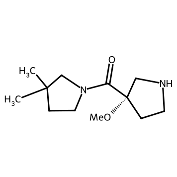 CO[C@@]1(C(=O)N2CCC(C)(C)C2)CCNC1